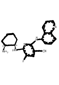 N#Cc1cc(F)c(N[C@@H]2CCCC[C@@H]2N)nc1Nc1cccc2ncccc12